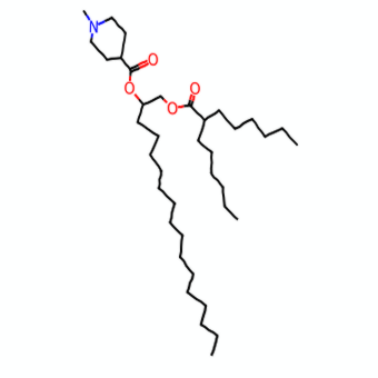 CCCCCCCCCCCCCCCC(COC(=O)C(CCCCCC)CCCCCC)OC(=O)C1CCN(C)CC1